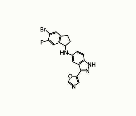 Fc1cc2c(cc1Br)CCC2Nc1ccc2[nH]nc(-c3cnco3)c2c1